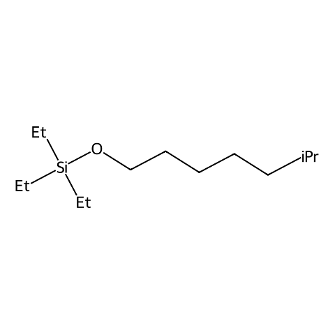 CC[Si](CC)(CC)OCCCCCC(C)C